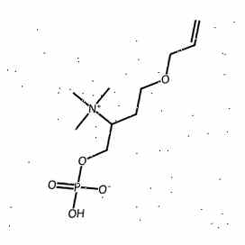 C=CCOCCC(COP(=O)([O-])O)[N+](C)(C)C